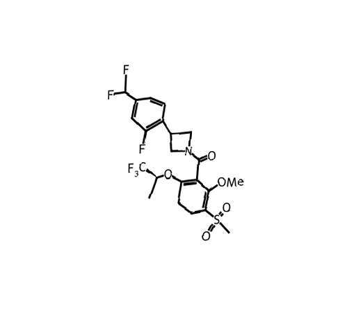 COC1=C(S(C)(=O)=O)CCC(O[C@@H](C)C(F)(F)F)=C1C(=O)N1CC(c2ccc(C(F)F)cc2F)C1